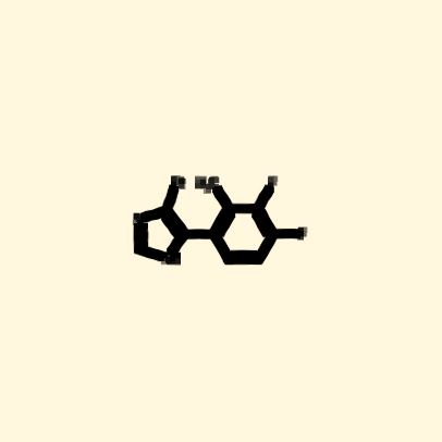 CCc1nc[nH]c1-c1ccc(F)c(F)c1C